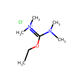 CCOC(N(C)C)=[N+](C)C.[Cl-]